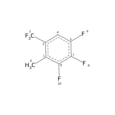 Cc1c(C(F)(F)F)cc(F)c(F)c1F